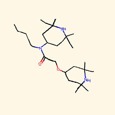 CCCCN(C(=O)COC1CC(C)(C)NC(C)(C)C1)C1CC(C)(C)NC(C)(C)C1